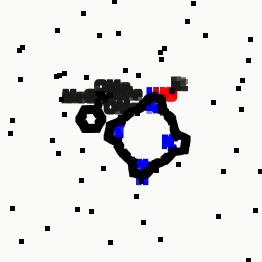 C1=Cc2cc3ccc(cc4nc(cc5ccc(cc1n2)[nH]5)C=C4)[nH]3.CCO.C[O][Zr]([O]C)([O]C)([O]C)[c]1ccccc1